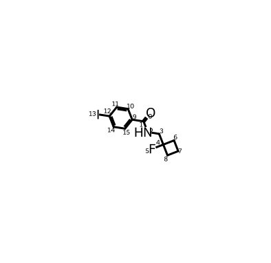 O=C(NCC1(F)CCC1)c1ccc(I)cc1